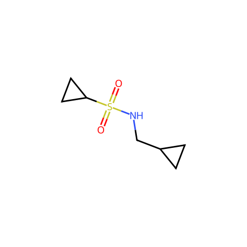 O=S(=O)(NCC1CC1)C1CC1